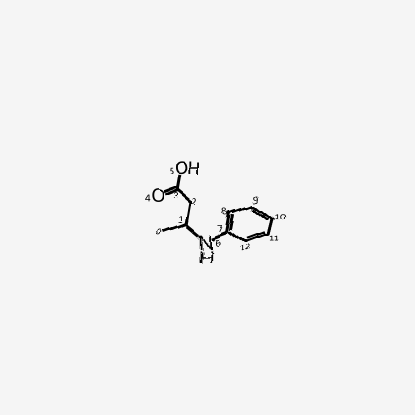 CC(CC(=O)O)Nc1ccccc1